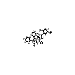 CN(C)C(=O)N1N=C(c2cc(F)ccc2F)CC1(CCC(O)c1ccccc1)c1ccccc1